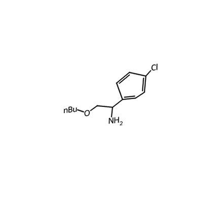 CCCCOCC(N)c1ccc(Cl)cc1